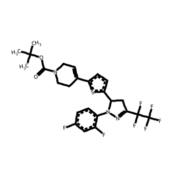 CC(C)(C)OC(=O)N1CC=C(c2ccc(C3CC(C(F)(F)C(F)(F)F)=NN3c3ccc(F)cc3F)s2)CC1